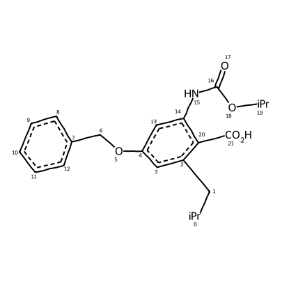 CC(C)Cc1cc(OCc2ccccc2)cc(NC(=O)OC(C)C)c1C(=O)O